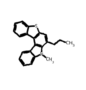 CCCc1cc2sc3ccccc3c2c2c3ccccc3n(C)c12